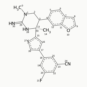 CN1CC(c2ccc3ccoc3c2)[C@@](C)(c2cc(-c3cc(F)cc(C#N)c3)cs2)NC1=N